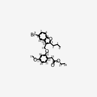 CCCc1oc2ccc(Br)cc2c1COc1cc(OC)ccc1CC(=O)OCC